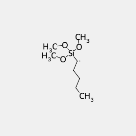 CCCC[CH][Si](OC)(OC)OC